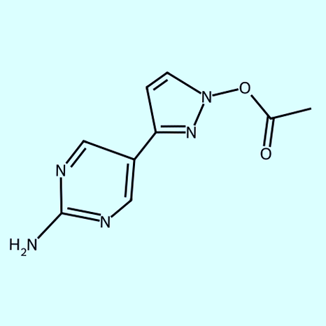 CC(=O)On1ccc(-c2cnc(N)nc2)n1